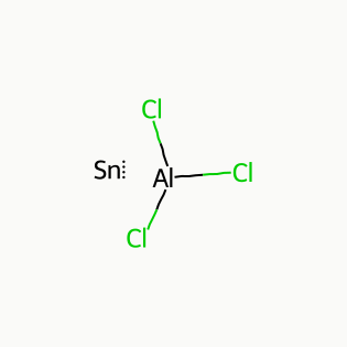 [Cl][Al]([Cl])[Cl].[Sn]